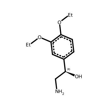 CCOc1ccc([C@@H](O)CN)cc1OCC